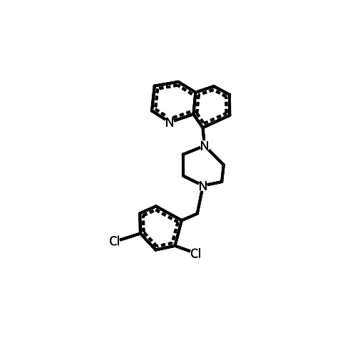 Clc1ccc(CN2CCN(c3cccc4cccnc34)CC2)c(Cl)c1